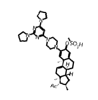 CC(=O)[C@H]1[C@H](C)C[C@H]2[C@@H]3CCC4=CC(=O)C(N5CCN(c6cc(N7CCCC7)nc(N7CCCC7)n6)CC5)=C[C@]4(C)C3=CC[C@@]21C.CS(=O)(=O)O